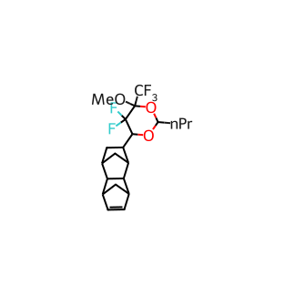 CCCC1OC(C2CC3CC2C2C4C=CC(C4)C32)C(F)(F)C(OC)(C(F)(F)F)O1